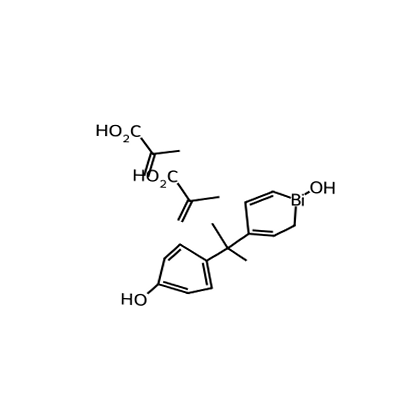 C=C(C)C(=O)O.C=C(C)C(=O)O.CC(C)(C1=C[CH2][Bi]([OH])[CH]=C1)c1ccc(O)cc1